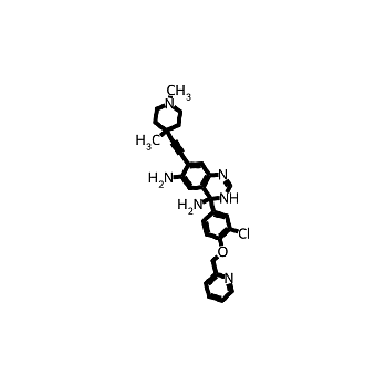 CN1CCC(C)(C#Cc2cc3c(cc2N)C(N)(c2ccc(OCc4ccccn4)c(Cl)c2)NC=N3)CC1